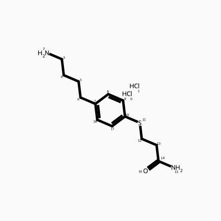 Cl.Cl.NCCCCc1ccc(SCCC(N)=O)cc1